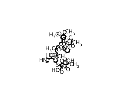 CCC(C)(C)C(=O)C(=O)N1CCCC[C@H]1C(=O)O[C@H](CCc1ccc(OC)c(OC)c1)CC(C)(C)CCC(C)(C)N1C[C@@H](SC2=C(C(=O)O)N3C(=O)[C@H]([C@@H](C)O)[C@H]3[C@H]2C)C[C@H]1[C@H](O)[C@@H]1CCNC1